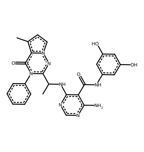 Cc1ccn2nc(C(C)Nc3ncnc(N)c3C(=O)Nc3cc(O)cc(O)c3)n(-c3ccccc3)c(=O)c12